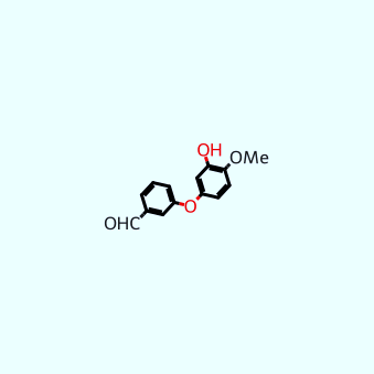 COc1ccc(Oc2cccc(C=O)c2)cc1O